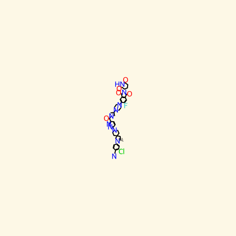 C[C@H]1CC2(CCN(c3ccc(C(=O)N4CC(N5CCN(c6cc7c(cc6F)C(=O)N(C6CCC(=O)NC6=O)C7=O)CC5)C4)nn3)CC2)CN1c1ccc(C#N)c(Cl)c1